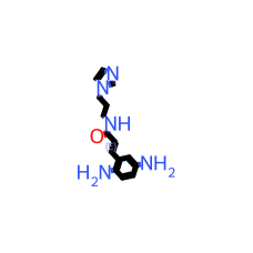 Nc1ccc(N)c(/C=C/C(=O)NCCCn2ccnc2)c1